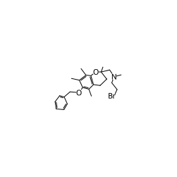 Cc1c(C)c2c(c(C)c1OCc1ccccc1)CCC(C)(CN(C)CCBr)O2